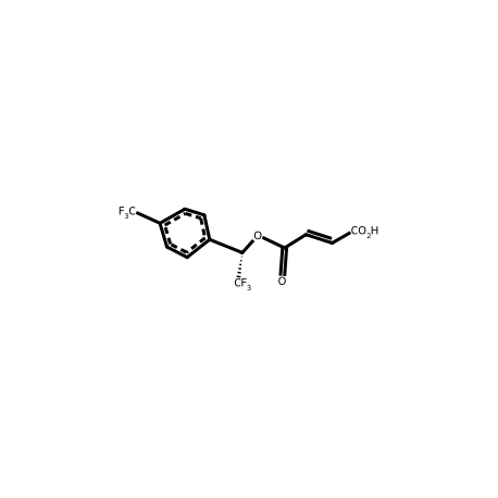 O=C(O)/C=C/C(=O)O[C@@H](c1ccc(C(F)(F)F)cc1)C(F)(F)F